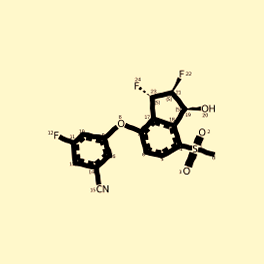 CS(=O)(=O)c1ccc(Oc2cc(F)cc(C#N)c2)c2c1[C@H](O)[C@H](F)[C@H]2F